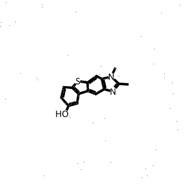 Cc1nc2cc3c(cc2n1C)sc1ccc(O)cc13